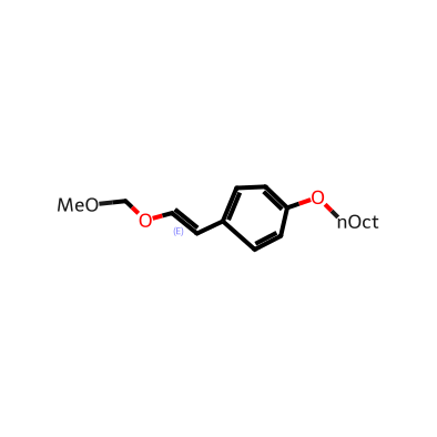 CCCCCCCCOc1ccc(/C=C/OCOC)cc1